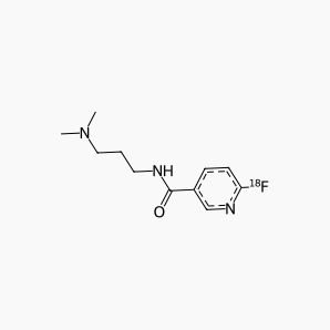 CN(C)CCCNC(=O)c1ccc([18F])nc1